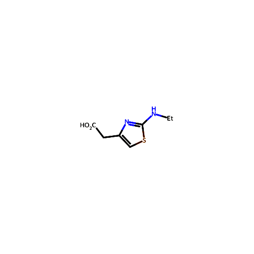 CCNc1nc(CC(=O)O)cs1